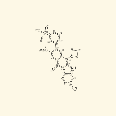 COc1cc2c(=O)c3c4ccc(C#N)cc4[nH]c3n(C3CCC3)c2cc1-c1cccc(S(=O)(=O)F)c1